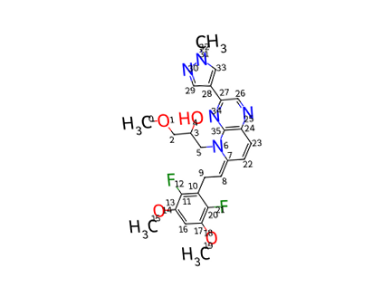 COCC(O)CN1C(=CCc2c(F)c(OC)cc(OC)c2F)C=Cc2ncc(-c3cnn(C)c3)nc21